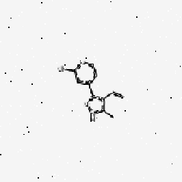 C=Cc1c(-c2ccnc(Cl)c2)n[nH]c1C